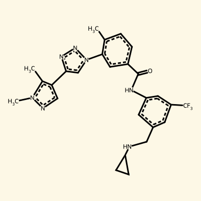 Cc1ccc(C(=O)Nc2cc(CNC3CC3)cc(C(F)(F)F)c2)cc1-n1cc(-c2cnn(C)c2C)nn1